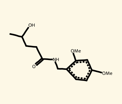 COc1ccc(CNC(=O)CCC(C)O)c(OC)c1